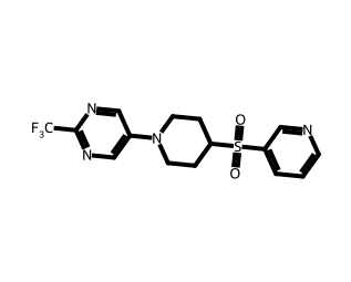 O=S(=O)(c1cccnc1)C1CCN(c2cnc(C(F)(F)F)nc2)CC1